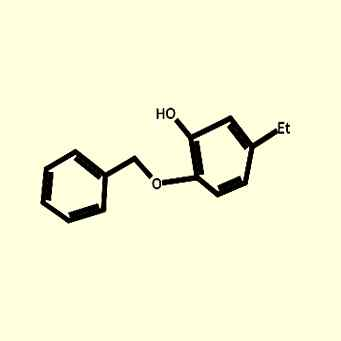 CCc1ccc(OCc2ccccc2)c(O)c1